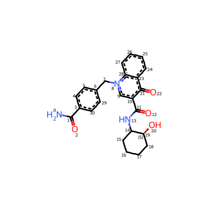 NC(=O)c1ccc(Cn2cc(C(=O)NC3CCCC[C@@H]3O)c(=O)c3ccccc32)cc1